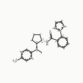 CN(c1cnc(C(F)(F)F)cn1)[C@H]1CCC[C@@H]1NC(=O)c1ccccc1-n1nccn1